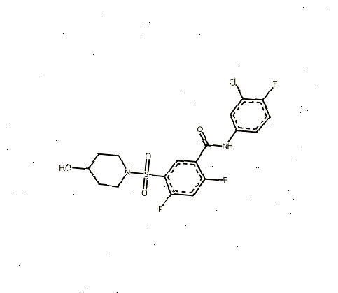 O=C(Nc1ccc(F)c(Cl)c1)c1cc(S(=O)(=O)N2CCC(O)CC2)c(F)cc1F